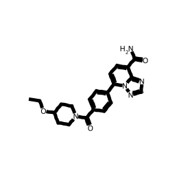 CCOC1CCN(C(=O)c2ccc(-c3ccc(C(N)=O)c4n[c]nn34)cc2)CC1